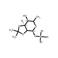 CC1O[C@@H](O[Si](C(C)C)(C(C)C)C(C)C)C2OC(C)(C)O[C@H]2[C@H]1O